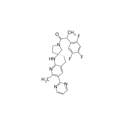 Cc1nc2c(cc1-c1ncccn1)CC[C@@]1(CCN(C(=O)C(C)c3cc(F)c(F)cc3F)C1)N2